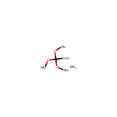 CCCCOC(C=O)(OCCCC)OCCCC.[AlH3]